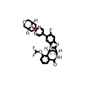 O=C1N[C@H]2C[C@@H](c3c(OC(F)F)cccc31)n1c2nc2cc(F)c(-c3cnc(N4[C@H]5COC[C@@H]4COC5)nc3)cc21